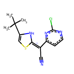 CC(C)(C)C1=CS/C(=C(\C#N)c2ccnc(Cl)n2)N1